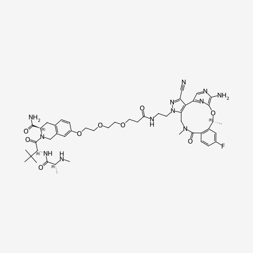 CN[C@H](C)C(=O)N[C@@H](C(=O)N1Cc2cc(OCCOCCOCCC(=O)NCCn3nc(C#N)c4c3CN(C)C(=O)c3ccc(F)cc3[C@@H](C)Oc3nc-4cnc3N)ccc2C[C@@H]1C(N)=O)C(C)(C)C